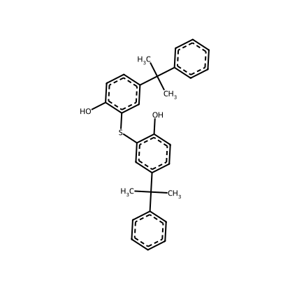 CC(C)(c1ccccc1)c1ccc(O)c(Sc2cc(C(C)(C)c3ccccc3)ccc2O)c1